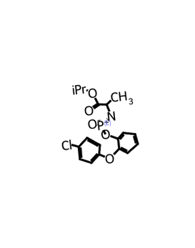 CC(C)OC(=O)C(C)/N=[P+](\[O-])Oc1ccccc1Oc1ccc(Cl)cc1